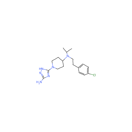 CC(C)N(CCc1ccc(Cl)cc1)C1CCN(c2nc(N)n[nH]2)CC1